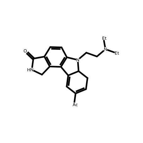 CCN(CC)CCN1c2ccc3c(c2C2=CC(C(C)=O)=CCC21)CNC3=O